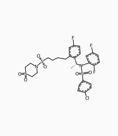 C[C@H](c1ccc(F)cc1CCCCS(=O)(=O)N1CCS(=O)(=O)CC1)N(c1cc(F)ccc1F)S(=O)(=O)c1ccc(Cl)cc1